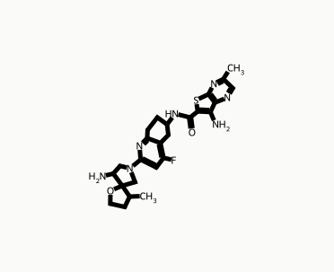 Cc1cnc2c(N)c(C(=O)NC3CCc4nc(N5CC(N)C6(C5)OCCC6C)cc(F)c4C3)sc2n1